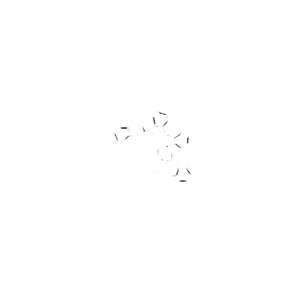 CC(C)(C)CN1CCC2(CC1)CN(c1ccccc1NC(=O)Nc1ccc(OC(F)(F)F)cc1)c1c(O)ccc(-c3nc4c(Cl)cccc4s3)c12